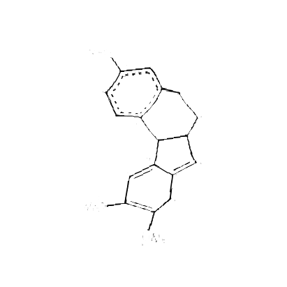 COC1=C(OC)CC2=CC3CCc4cc(OC)ccc4C3C2=C1